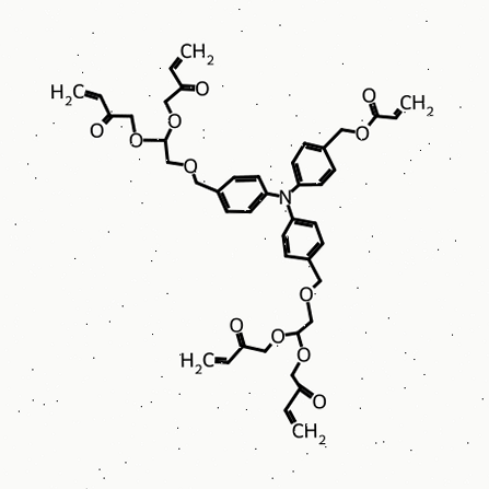 C=CC(=O)COC(COCc1ccc(N(c2ccc(COCC(OCC(=O)C=C)OCC(=O)C=C)cc2)c2ccc(COC(=O)C=C)cc2)cc1)OCC(=O)C=C